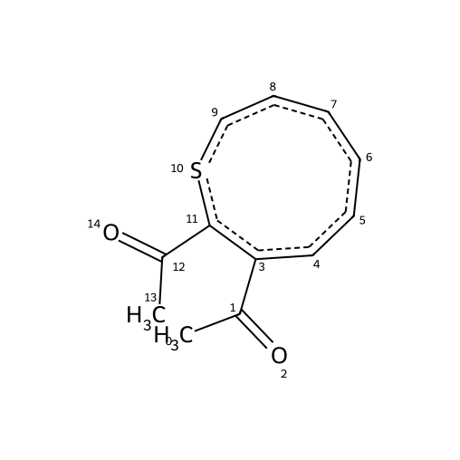 CC(=O)c1ccccccsc1C(C)=O